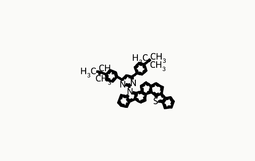 CC(C)(C)c1ccc(-c2cc(-c3ccc(C(C)(C)C)cc3)nc(-n3c4ccccc4c4ccc5c(ccc6ccc7c8ccccc8sc7c65)c43)n2)cc1